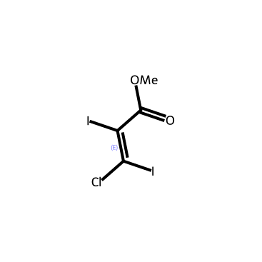 COC(=O)/C(I)=C(/Cl)I